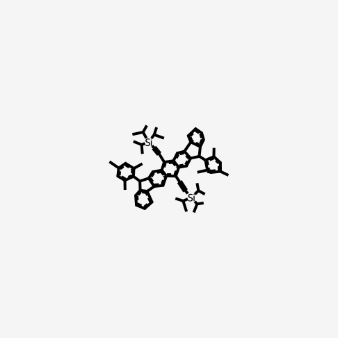 Cc1cc(C)c(C2c3ccccc3-c3cc4c(C#C[Si](C(C)C)(C(C)C)C(C)C)c5cc6c(cc5c(C#C[Si](C(C)C)(C(C)C)C(C)C)c4cc32)-c2ccccc2C6c2c(C)cc(C)cc2C)c(C)c1